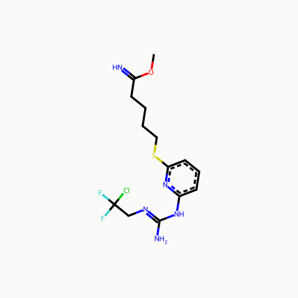 COC(=N)CCCCSc1cccc(NC(N)=NCC(F)(F)Cl)n1